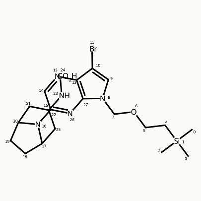 C[Si](C)(C)CCOCn1cc(Br)c2ncc(N3C4CCC3CC(NC(=O)O)C4)nc21